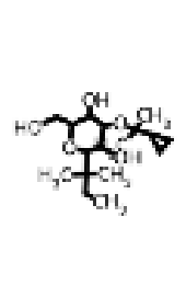 CCC(C)(C)C1OC(CO)C(O)C(OC(C)(C)C2CC2)C1O